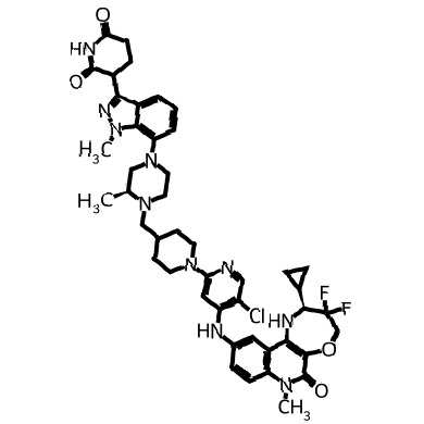 C[C@H]1CN(c2cccc3c(C4CCC(=O)NC4=O)nn(C)c23)CCN1CC1CCN(c2cc(Nc3ccc4c(c3)c3c(c(=O)n4C)OCC(F)(F)[C@H](C4CC4)N3)c(Cl)cn2)CC1